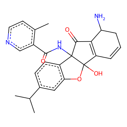 Cc1ccncc1C(=O)NC12C(=O)C3=C(C=CCC3N)C1(O)Oc1cc(C(C)C)ccc12